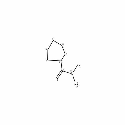 C=C(C1CCCCC1)N(C)CC